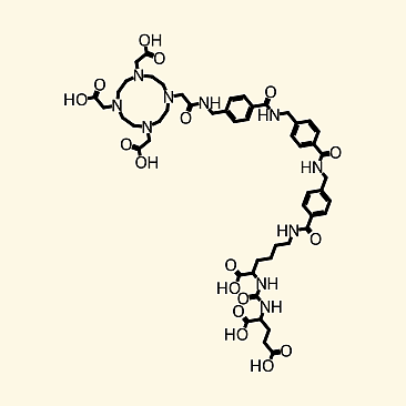 O=C(O)CCC(NC(=O)NC(CCCCNC(=O)c1ccc(CNC(=O)c2ccc(CNC(=O)c3ccc(CNC(=O)CN4CCN(CC(=O)O)CCN(CC(=O)O)CCN(CC(=O)O)CC4)cc3)cc2)cc1)C(=O)O)C(=O)O